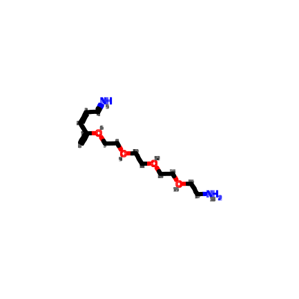 C=C(/C=C\C=N)OCCOCCOCCOCCN